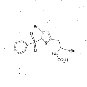 CC(C)(C)C(Cc1cc(Br)c(S(=O)(=O)c2ccccc2)s1)NC(=O)O